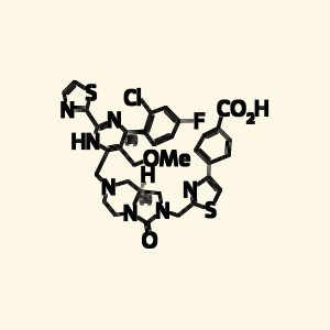 COCC1=C(CN2CCN3C(=O)N(Cc4nc(-c5ccc(C(=O)O)cc5)cs4)C[C@@H]3C2)NC(c2nccs2)=N[C@H]1c1ccc(F)cc1Cl